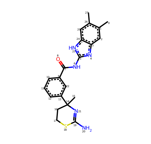 Cc1cc2nc(NC(=O)c3cccc(C4(C)CCSC(N)=N4)c3)[nH]c2cc1C